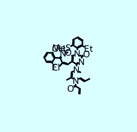 C=CC(=O)N(/C=C/C)/C(C)=C\N(C)c1nc(=O)n(-c2c(CC)cccc2SC)c2c1C=C(Cl)C(c1c(O)cccc1F)=NO2